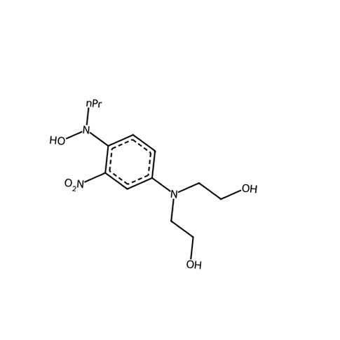 CCCN(O)c1ccc(N(CCO)CCO)cc1[N+](=O)[O-]